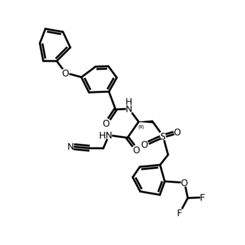 N#CCNC(=O)[C@H](CS(=O)(=O)Cc1ccccc1OC(F)F)NC(=O)c1cccc(Oc2ccccc2)c1